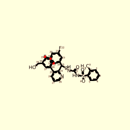 Cc1ccccc1S(=O)(=O)NC(=O)NCC(c1cc(F)cc(F)c1)c1ncccc1-c1cccc(CO)c1